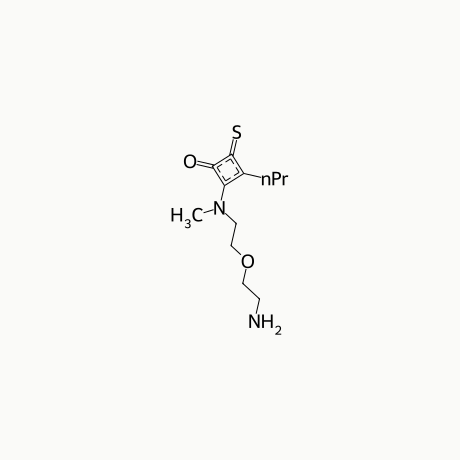 CCCc1c(N(C)CCOCCN)c(=O)c1=S